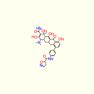 CNC(=O)C1=C(O)C(N(C)C)C2CC3Cc4c(-c5ccc(NC(=O)C6CC=NO6)cc5)ccc(O)c4C(=O)C3=C(O)C2C1(C)O